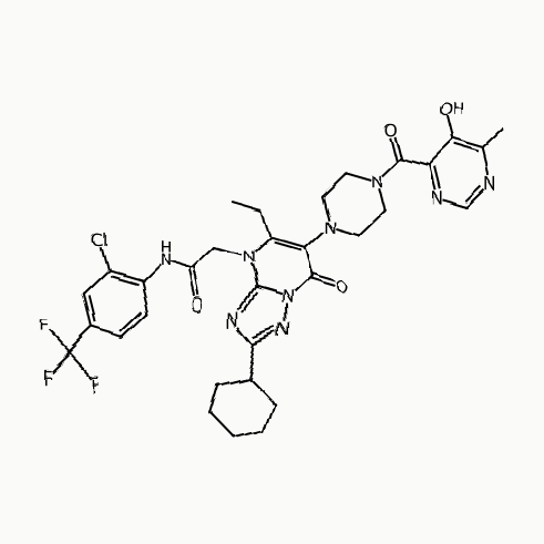 CCc1c(N2CCN(C(=O)c3ncnc(C)c3O)CC2)c(=O)n2nc(C3CCCCC3)nc2n1CC(=O)Nc1ccc(C(F)(F)F)cc1Cl